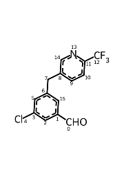 O=Cc1cc(Cl)cc(Cc2ccc(C(F)(F)F)nc2)c1